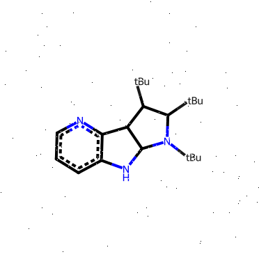 CC(C)(C)C1C2c3ncccc3NC2N(C(C)(C)C)C1C(C)(C)C